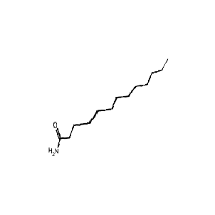 CCCCCCCCCCCCC(N)=O